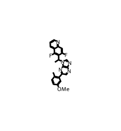 COc1ccc(C)c(-c2cnc3ncn(C(C)c4c(F)cc5ncccc5c4F)c3n2)c1